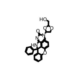 O=c1nc(NC2(c3ccccc3)c3ccccc3Oc3ccccc32)ccn1C1COC(CO)O1